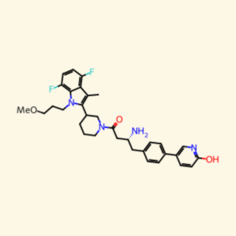 COCCCn1c(C2CCCN(C(=O)C[C@H](N)Cc3ccc(-c4ccc(O)nc4)cc3)C2)c(C)c2c(F)ccc(F)c21